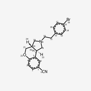 N#Cc1ccc2c(c1)[C@@H]1CN(CCc3ccc(Br)cc3)C[C@H]1CO2